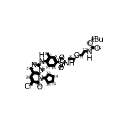 Cc1cc(S(=O)(=O)NCCOCCNC(=O)OC(C)(C)C)ccc1Nc1ncc2cc(Cl)c(=O)n(C3CCCC3)c2n1